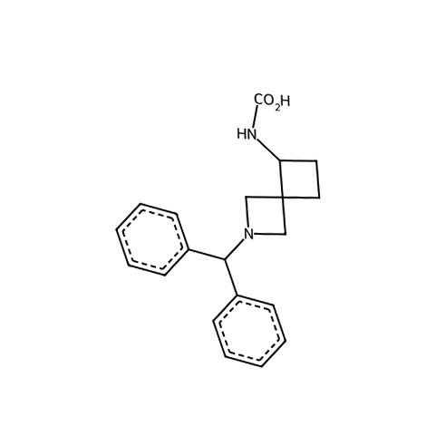 O=C(O)NC1CCC12CN(C(c1ccccc1)c1ccccc1)C2